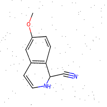 COc1ccc2c(c1)C=CNC2C#N